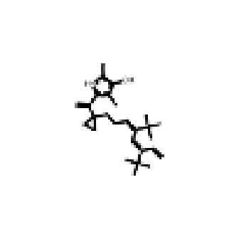 C=C/C(=C\C(=C/CCC1(C(=C)c2[nH]c(C)c(O)c2C)CC1)C(C)(C)C)C(C)(C)C